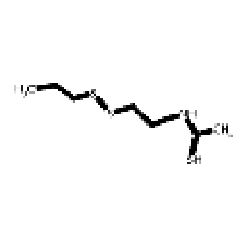 CCCSSCCNC(C)S